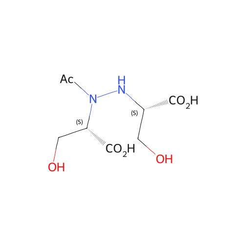 CC(=O)N(N[C@@H](CO)C(=O)O)[C@@H](CO)C(=O)O